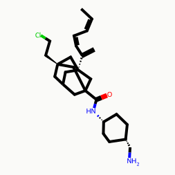 C=C(/C=C\C=C/C)[C@]12CC3CC(C(=O)N[C@H]4CC[C@@H](CN)CC4)(C[C@](CCCl)(C3)C1)C2